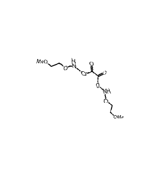 COCCONOC(=O)C(=O)ONOCCOC